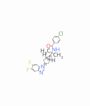 CC(C)(NC(=O)c1ccc(Cl)cc1)[C@H]1[C@@H]2C[C@@H](n3cnc4cc(F)c(F)cc43)C[C@@H]21